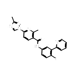 Cc1ncn(-c2ccc(C(=O)Nc3ccc(I)c(-c4ccccn4)c3)c(C)n2)n1